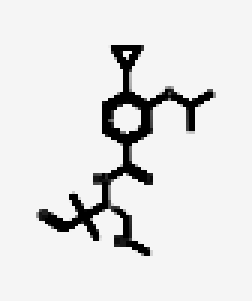 CNC[C@@H](NC(=O)c1ccc(C2CC2)c(OC(C)C)c1)C(C)(C)C=O